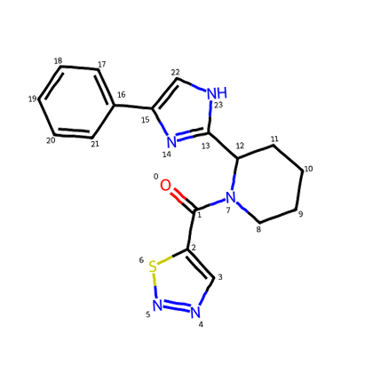 O=C(c1cnns1)N1CCCCC1c1nc(-c2ccccc2)c[nH]1